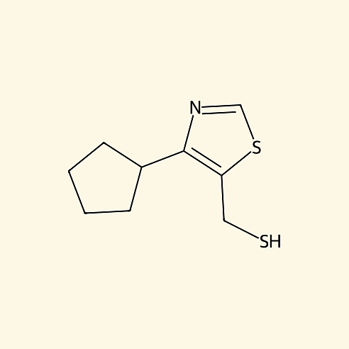 SCc1scnc1C1CCCC1